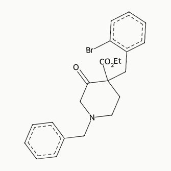 CCOC(=O)C1(Cc2ccccc2Br)CCN(Cc2ccccc2)CC1=O